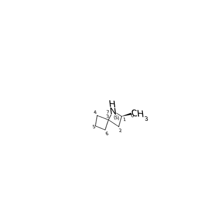 C[C@H]1CC2(CCC2)N1